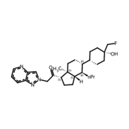 CCC[C@H]1[C@@H]2CC[C@H](C(=O)Cn3cc4ncccc4n3)[C@@]2(C)CC[C@@H]1[C@H]1CC[C@](O)(CF)CC1